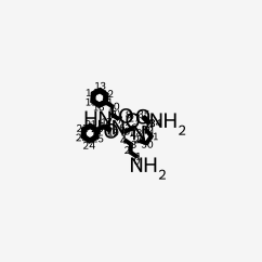 NCCCC[C@H](NC(=O)[C@H](Cc1ccccc1)NC(=O)c1ccccc1)C(=O)N1CCC[C@@H]1C(N)=O